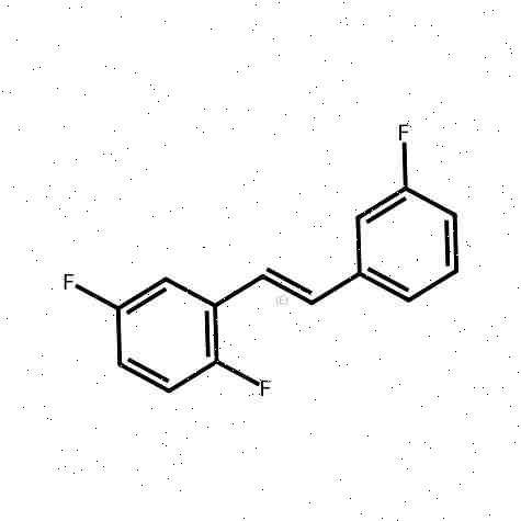 Fc1cccc(/C=C/c2cc(F)ccc2F)c1